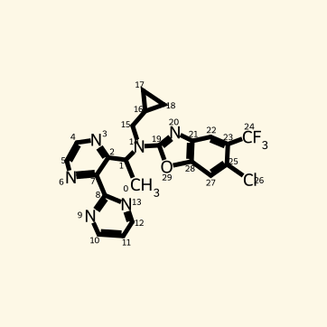 CC(c1nccnc1-c1ncccn1)N(CC1CC1)c1nc2cc(C(F)(F)F)c(Cl)cc2o1